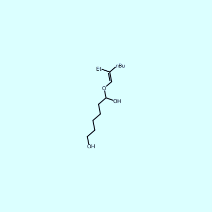 CCCCC(=COC(O)CCCCCO)CC